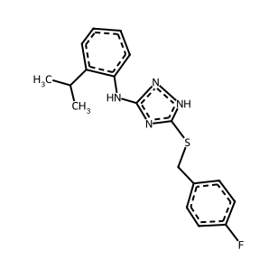 CC(C)c1ccccc1Nc1n[nH]c(SCc2ccc(F)cc2)n1